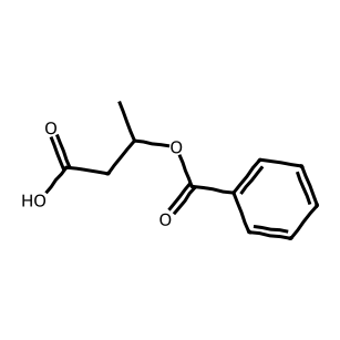 CC(CC(=O)O)OC(=O)c1ccccc1